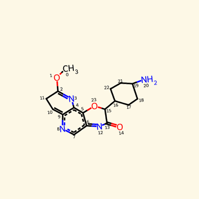 COC1=Nc2c3c(cnc2=CC1)=NC(=O)C(C1CCC(N)CC1)O3